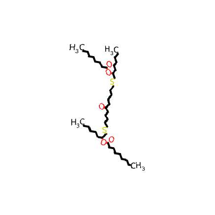 CCCCCCCCC(=O)OC(CCCCCC)CSCCCCCC(=O)CCCCCSCC(CCCCCC)OC(=O)CCCCCCCC